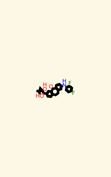 CC1(C)C[C@]1(O)C(O)c1ccc2c(c1)C(=O)c1ccc(Nc3ccc(F)cc3F)cc1CC2